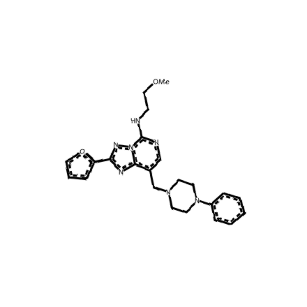 COCCNc1ncc(CN2CCN(c3ccccc3)CC2)c2nc(-c3ccco3)nn12